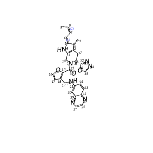 C=c1c2c([nH]/c1=C/C=C\C)CN(C(=O)c1occc1CNc1ccc3nccnc3c1)[C@@H](c1nnco1)C2